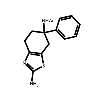 CC(=O)NC1(c2ccccc2)CCc2nc(N)sc2C1